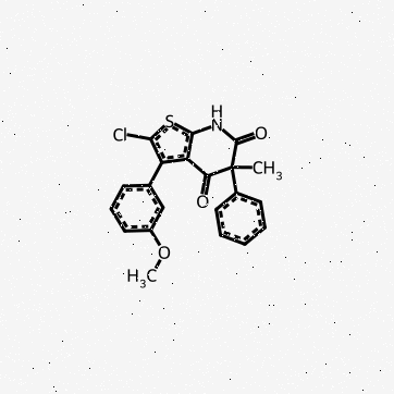 COc1cccc(-c2c(Cl)sc3c2C(=O)C(C)(c2ccccc2)C(=O)N3)c1